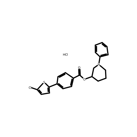 Cl.O=C(OC1CCCN(c2ccccc2)C1)c1ccc(-c2ccc(Cl)s2)cc1